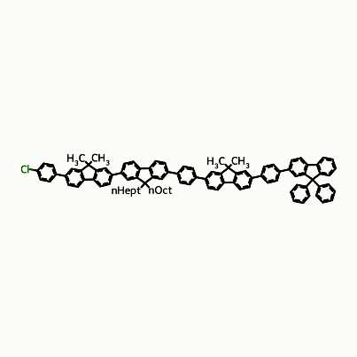 CCCCCCCCC1(CCCCCCC)c2cc(-c3ccc(-c4ccc5c(c4)C(C)(C)c4cc(-c6ccc(-c7ccc8c(c7)C(c7ccccc7)(c7ccccc7)c7ccccc7-8)cc6)ccc4-5)cc3)ccc2-c2ccc(-c3ccc4c(c3)C(C)(C)c3cc(-c5ccc(Cl)cc5)ccc3-4)cc21